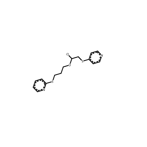 [O]C(CSc1ccncc1)OCCCSc1ccccn1